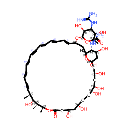 C[C@@H]1[C@H](O)[C@@H](C)/C=C/C=C/C=C/C=C/C=C/C=C/C=C/[C@H](O[C@@H]2O[C@H](C)[C@@H](O)[C@H](NC(=N)N)[C@@H]2O)C[C@@H]2O[C@](O)(C[C@@H](O)C[C@@H](O)[C@H](O)CC[C@@H](O)C[C@@H](O)CC(=O)O[C@H]1C)C[C@H](O)[C@H]2NC(N)=O